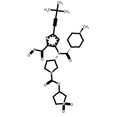 CC(C)(C)C#Cc1cc(N(C(=O)[C@H]2CC[C@H](C)CC2)[C@H]2CCN(C(=O)OC3CCS(=O)(=O)C3)C2)c(C(=O)N=O)s1